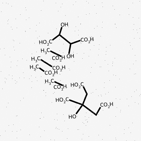 CC(=O)O.CC(=O)O.CC(=O)O.CC(=O)O.O=C(O)C(O)C(O)C(=O)O.O=C(O)CC(O)(CC(=O)O)C(=O)O